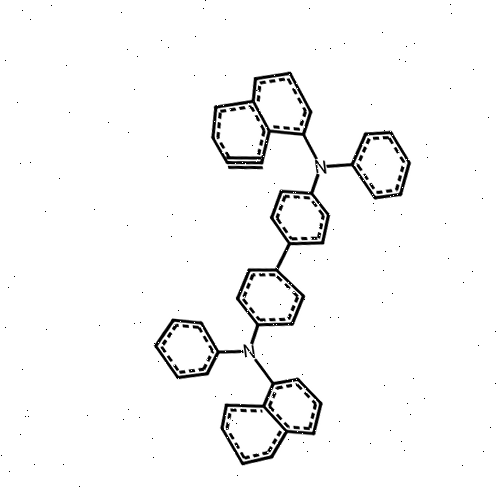 c1ccc2cccc(N(c3ccccc3)c3ccc(-c4ccc(N(c5ccccc5)c5cccc6ccccc56)cc4)cc3)c2c#1